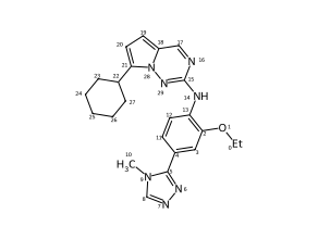 CCOc1cc(-c2nncn2C)ccc1Nc1ncc2ccc(C3CCCCC3)n2n1